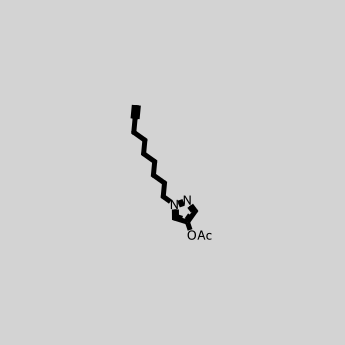 C#CCCCCCCCn1cc(OC(C)=O)cn1